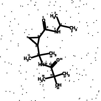 CC(C)NC(=O)C1CC1C(C)(C)NC(=O)C(C)(C)O